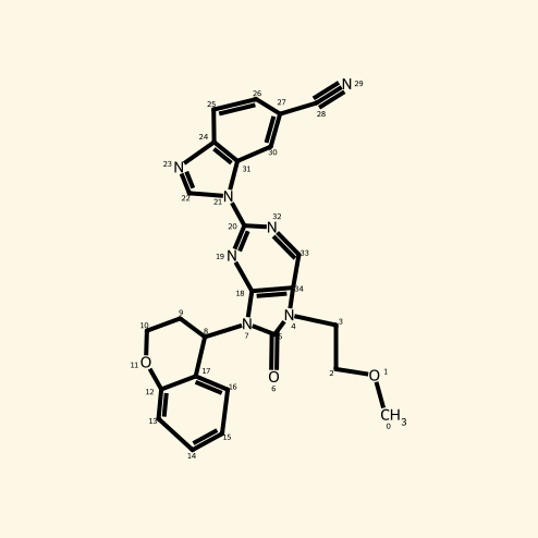 COCCn1c(=O)n(C2CCOc3ccccc32)c2nc(-n3cnc4ccc(C#N)cc43)ncc21